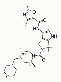 Cc1nc(C)c(C(=O)Nc2n[nH]c3c2CN(C(=O)N2C[C@@H](C)N(CC4CCOCC4)C[C@@H]2C)C3(C)C)o1